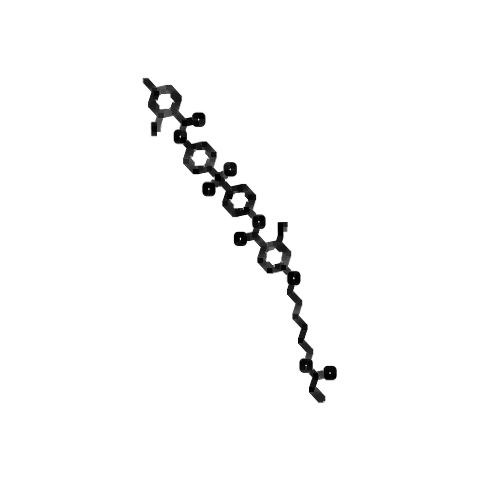 C=CC(=O)OCCCCCCOc1ccc(C(=O)Oc2ccc(S(=O)(=O)c3ccc(OC(=O)c4ccc(C)cc4F)cc3)cc2)c(F)c1